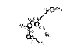 COc1cc(C(=O)N(C)c2ccc(C)cc2OCCCCCC(=O)N2CCN(C)CC2)ccc1NC(=O)c1cccc2[nH]c(CCN)nc12.Cl.Cl.Cl